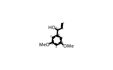 C=CC(O)c1cc(OC)cc(OC)c1